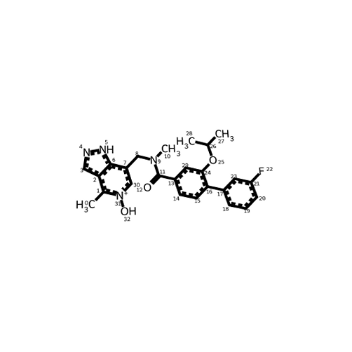 Cc1c2cn[nH]c2c(CN(C)C(=O)c2ccc(-c3cccc(F)c3)c(OC(C)C)c2)c[n+]1O